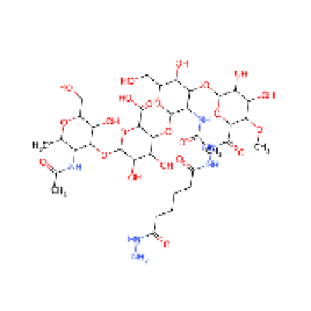 COC1C(C(=O)NNC(=O)CCCCC(=O)NN)OC(OC2C(O)C(CO)OC(OC3C(C(=O)O)OC(OC4C(O)C(CO)OC(C)C4NC(C)=O)C(O)C3O)C2NC(C)=O)C(O)C1O